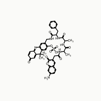 CC(NC(=O)Cc1cc2ccc(N)cc2oc1=O)C(=O)NC(C)C(=O)NC(Cc1ccccc1)C(=O)NCc1cc2c(cc1OS(=O)(=O)O)C(C)(C)C1=CC(=O)C=CC1=N2